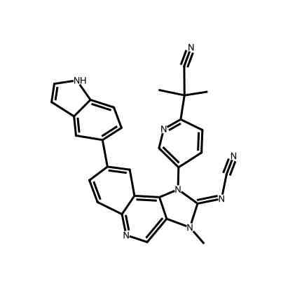 Cn1/c(=N/C#N)n(-c2ccc(C(C)(C)C#N)nc2)c2c3cc(-c4ccc5[nH]ccc5c4)ccc3ncc21